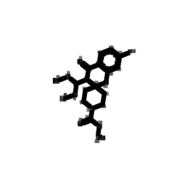 CCOC(OCC)C1C(=O)c2ccc(F)cc2OC12CCN(C(=O)OC(C)(C)C)CC2